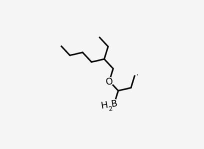 BC(C[CH2])OCC(CC)CCCC